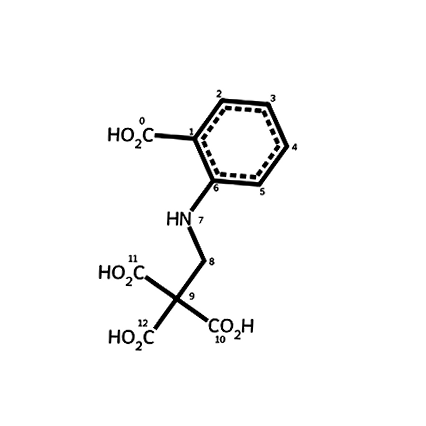 O=C(O)c1ccccc1NCC(C(=O)O)(C(=O)O)C(=O)O